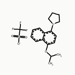 CC(C)Oc1ccc([S+]2CCCC2)c2ccccc12.O=S(=O)([O-])C(F)(F)F